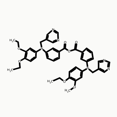 CCOc1ccc(N(Cc2cncnc2)c2cccc(C(=O)OC(=O)c3cccc(N(Cc4cncnc4)c4ccc(OCC)c(OCC)c4)c3)c2)cc1OC